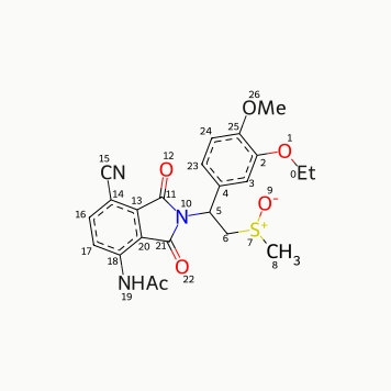 CCOc1cc(C(C[S+](C)[O-])N2C(=O)c3c(C#N)ccc(NC(C)=O)c3C2=O)ccc1OC